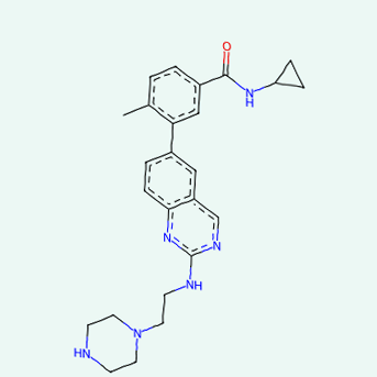 Cc1ccc(C(=O)NC2CC2)cc1-c1ccc2nc(NCCN3CCNCC3)ncc2c1